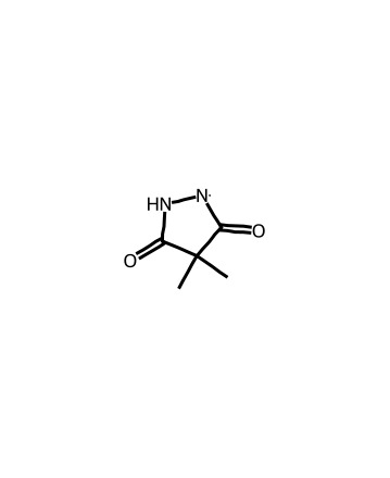 CC1(C)C(=O)[N]NC1=O